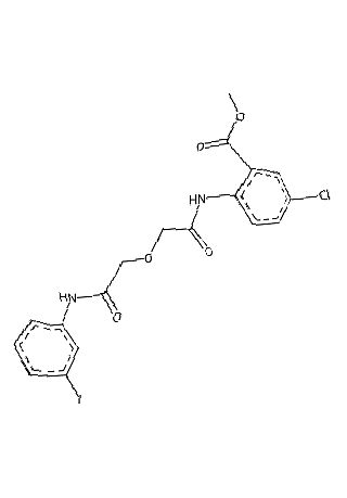 COC(=O)c1cc(Cl)ccc1NC(=O)COCC(=O)Nc1cccc(I)c1